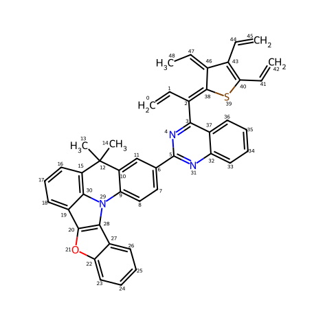 C=C/C(c1nc(-c2ccc3c(c2)C(C)(C)c2cccc4c5oc6ccccc6c5n-3c24)nc2ccccc12)=c1/sc(C=C)c(C=C)/c1=C/C